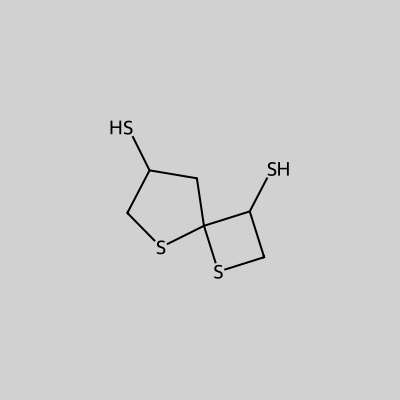 SC1CSC2(C1)SCC2S